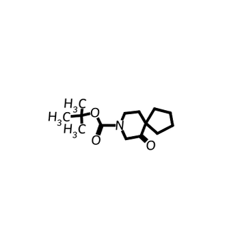 CC(C)(C)OC(=O)N1CCC2(CCCC2)C(=O)C1